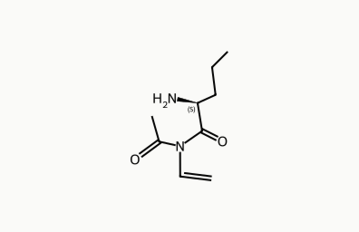 C=CN(C(C)=O)C(=O)[C@@H](N)CCC